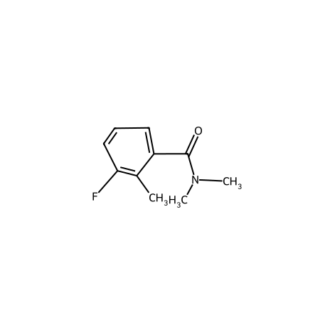 Cc1c(F)cccc1C(=O)N(C)C